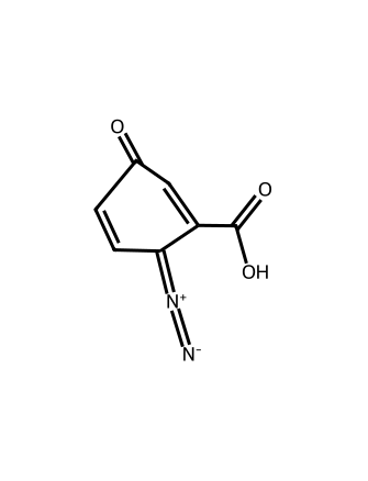 [N-]=[N+]=C1C=CC(=O)C=C1C(=O)O